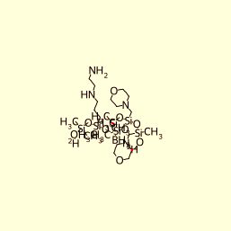 [2H]O[Si](C)(C)O[Si](C)(CCCNCCN)O[Si](C)(C)O[Si](CN1CCOCC1)(O[Si](B)(C)C)O[Si](C)(CN1CCOCC1)O[2H]